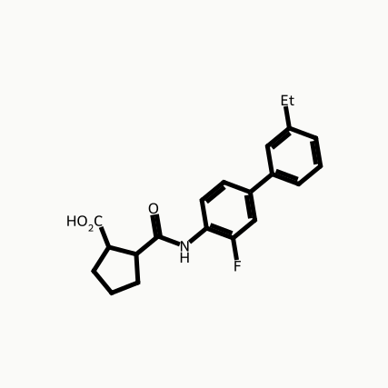 CCc1cccc(-c2ccc(NC(=O)C3CCCC3C(=O)O)c(F)c2)c1